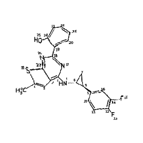 Cc1cc2c(N[C@@H]3C[C@H]3c3ccc(F)c(F)c3)nc(-c3ccccc3O)nc2s1